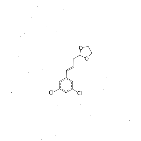 Clc1cc(Cl)cc(C=CC[C]2OCCO2)c1